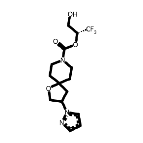 O=C(O[C@H](CO)C(F)(F)F)N1CCC2(CC1)CC(n1cccn1)CO2